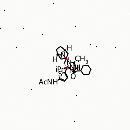 CC(=O)Nc1ccc([C@H](CCN2[C@@H]3CC[C@H]2C[C@H](n2c(C)nnc2C(C)C)C3)NC(=O)C2CCCCC2)s1